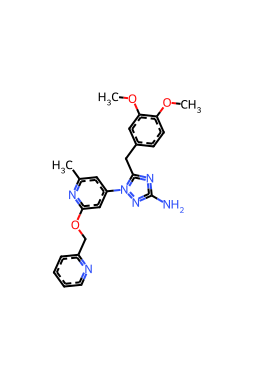 COc1ccc(Cc2nc(N)nn2-c2cc(C)nc(OCc3ccccn3)c2)cc1OC